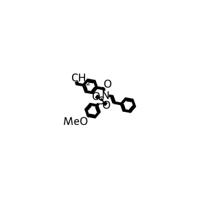 C=Cc1ccc(C(=O)N(C=Cc2ccccc2)S(=O)(=O)c2ccc(OC)cc2)cc1